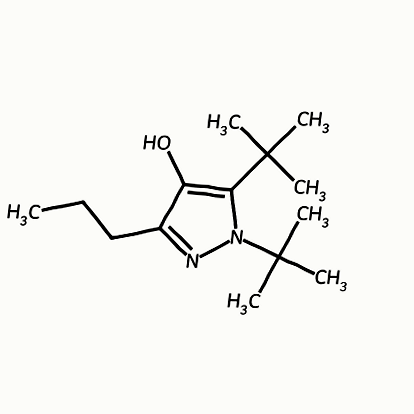 CCCc1nn(C(C)(C)C)c(C(C)(C)C)c1O